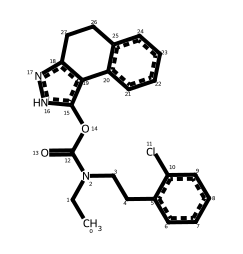 CCN(CCc1ccccc1Cl)C(=O)Oc1[nH]nc2c1-c1ccccc1CC2